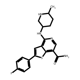 CC1CCC(Nc2ncc(C(N)=O)c3sc(-c4ccc(F)cc4)cc23)CN1